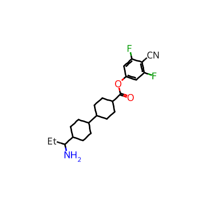 CCC(N)C1CCC(C2CCC(C(=O)Oc3cc(F)c(C#N)c(F)c3)CC2)CC1